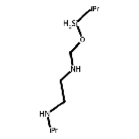 CC(C)NCCNCO[SiH2]C(C)C